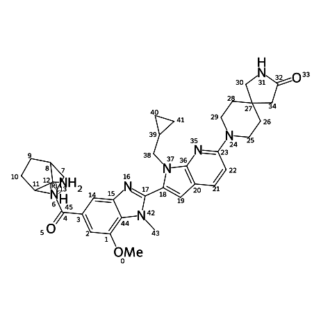 COc1cc(C(=O)N2CC3CCC2[C@@H]3N)cc2nc(-c3cc4ccc(N5CCC6(CC5)CNC(=O)C6)nc4n3CC3CC3)n(C)c12